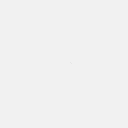 c1ccc(-c2cc(-c3ccc(N(c4ccc(-c5cccc6ccccc56)cc4)c4ccc5c(c4)sc4ccccc45)cc3)cc3ccccc23)cc1